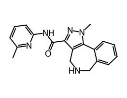 Cc1cccc(NC(=O)c2nn(C)c3c2CNCc2ccccc2-3)n1